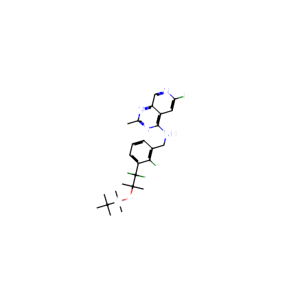 Cc1nc(N[C@H](C)c2cccc(C(F)(F)C(C)(C)O[Si](C)(C)C(C)(C)C)c2F)c2cc(Br)ncc2n1